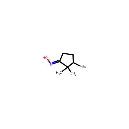 CCCCC1CC/C(=N\O)C1(C)C